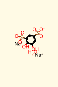 O.O=S(=O)([O-])c1cc(O)c(O)c(S(=O)(=O)[O-])c1.[Na+].[Na+]